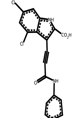 O=C(C#Cc1c(C(=O)O)[nH]c2cc(Cl)cc(Cl)c12)Nc1ccccc1